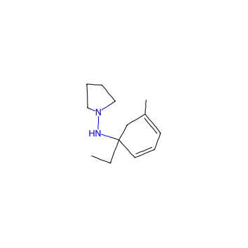 CCC1(NN2CCCC2)C=CC=C(C)C1